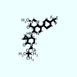 Cn1cnc2c(-c3ccc(C(F)(F)F)cc3)cnc(NC3CCN(C(=O)OC(C)(C)C)C(=O)C34CC4)c2c1=O